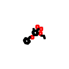 CCCOc1cc(OCc2ccccc2)cc(C)c1C(=O)OC